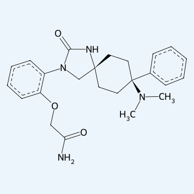 CN(C)[C@]1(c2ccccc2)CC[C@@]2(CC1)CN(c1ccccc1OCC(N)=O)C(=O)N2